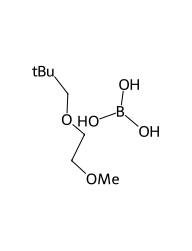 COCCOCC(C)(C)C.OB(O)O